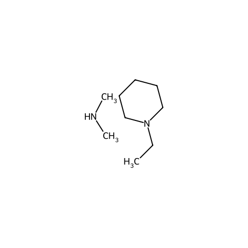 CCN1CCCCC1.CNC